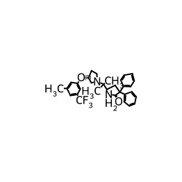 Cc1cc(O[C@@H]2CCN(C(C)(C)CCC(C(N)=O)(c3ccccc3)c3ccccc3)C2)cc(C(F)(F)F)c1